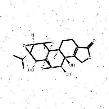 CC(C)[C@]12O[C@H]1[C@@H]1O[C@]13[C@]1(O[C@H]1[C@H](O)[C@@]1(O)C4=C(CC[C@]31C)C(=O)OC4)[C@@H]2O